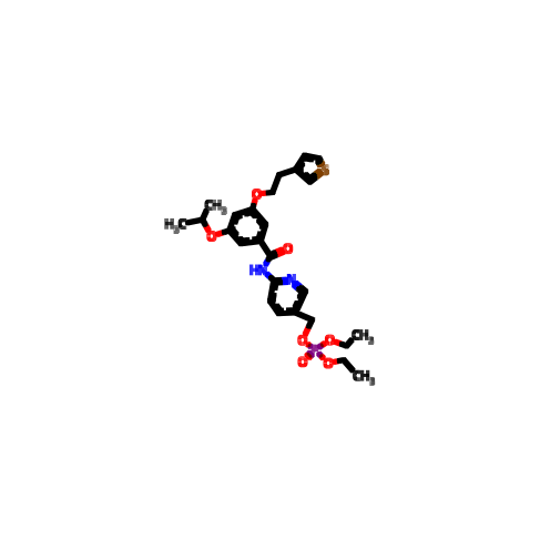 CCOP(=O)(OCC)OCc1ccc(NC(=O)c2cc(OCCc3ccsc3)cc(OC(C)C)c2)nc1